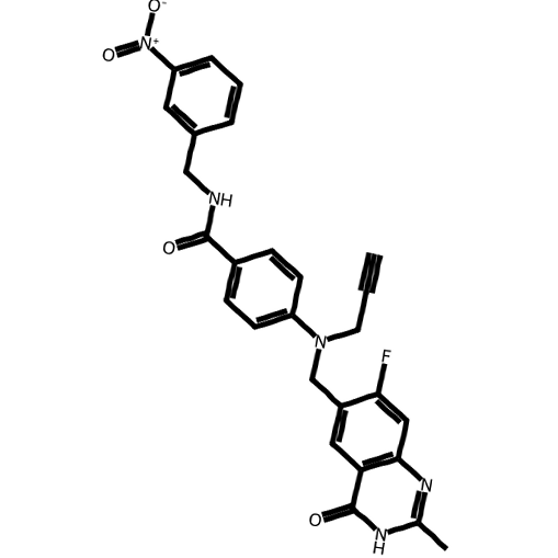 C#CCN(Cc1cc2c(=O)[nH]c(C)nc2cc1F)c1ccc(C(=O)NCc2cccc([N+](=O)[O-])c2)cc1